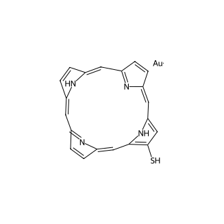 Sc1cc2cc3nc(cc4ccc(cc5nc(cc1[nH]2)C=C5)[nH]4)C=C3.[Au]